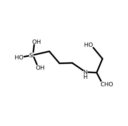 O=CC(CO)NCCC[Si](O)(O)O